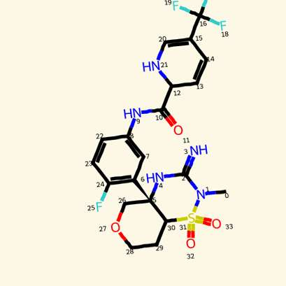 CN1C(=N)N[C@@]2(c3cc(NC(=O)C4C=CC(C(F)(F)F)=CN4)ccc3F)COCCC2S1(=O)=O